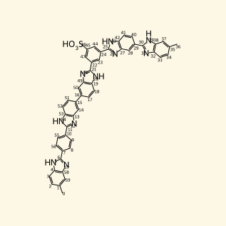 Cc1ccc2[nH]c(-c3ccc(-c4nc5cc(-c6ccc7[nH]c(-c8cc(-c9nc%10cc(-c%11nc%12ccc(C)cc%12[nH]%11)ccc%10[nH]9)cc(S(=O)(=O)O)c8)nc7c6)ccc5[nH]4)cc3)nc2c1